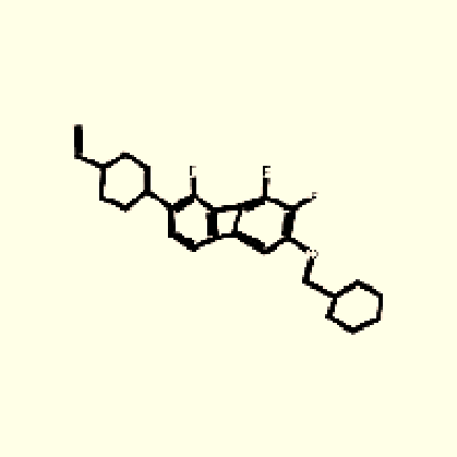 C=CC1CCC(c2ccc3c(c2F)-c2c-3cc(OCC3CCCCC3)c(F)c2F)CC1